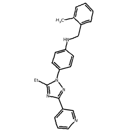 CCc1nc(-c2cccnc2)nn1-c1ccc(NCc2ccccc2C)cc1